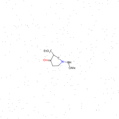 CCOC(=O)C1CN(BOC)CCC1=O